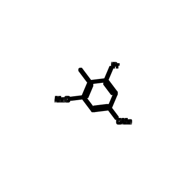 COc1cc(OC)c(C)c(C(C)C)c1